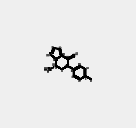 Cc1ccc(N2C[C@H](N)n3nccc3C2=O)cc1